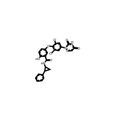 O=C(NC1CC1c1ccccc1)c1cc(Oc2c(Cl)cc(-n3ncc(=O)[nH]c3=O)cc2Cl)ccc1O